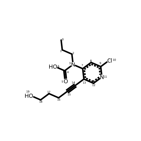 CCCN(C(=O)O)c1cc(Cl)ncc1C#CCCCO